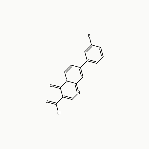 O=C(Cl)c1cnc2cc(-c3cccc(F)c3)ccn2c1=O